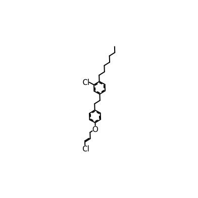 CCCCCCCc1ccc(CCc2ccc(OCC=CCl)cc2)cc1Cl